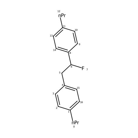 CCCc1ccc(CC(F)c2ccc(CCC)cc2)cc1